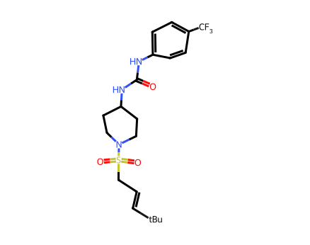 CC(C)(C)C=CCS(=O)(=O)N1CCC(NC(=O)Nc2ccc(C(F)(F)F)cc2)CC1